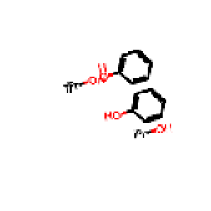 CC(C)O.CC(C)O.Oc1ccccc1.Oc1ccccc1.[Ti]